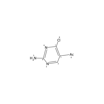 CC(=O)c1cnc(N)nc1Cl